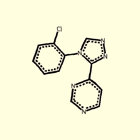 Clc1ccccc1-n1cnnc1-c1ccncn1